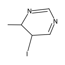 CC1N=CN=CC1I